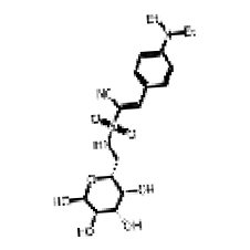 CCN(CC)c1ccc(/C=C(\C#N)S(=O)(=O)NC[C@H]2OC(O)[C@H](O)[C@@H](O)[C@@H]2O)cc1